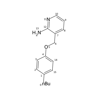 CCCCc1ccc(OCc2cccnc2N)cc1